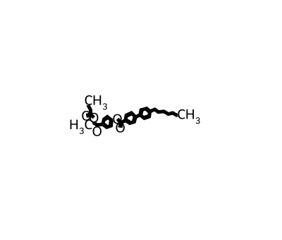 CCCCCCCc1ccc(-c2ccc(C(=O)Oc3ccc(C(=O)C(C)OC(=O)CCC)cc3)cc2)cc1